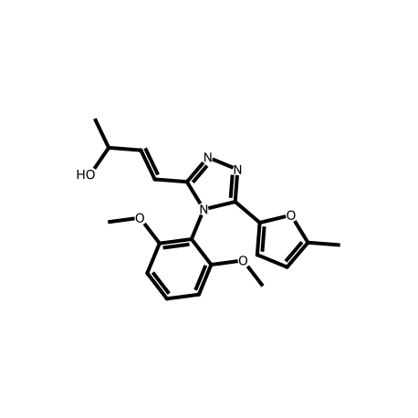 COc1cccc(OC)c1-n1c(/C=C/C(C)O)nnc1-c1ccc(C)o1